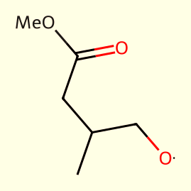 COC(=O)CC(C)C[O]